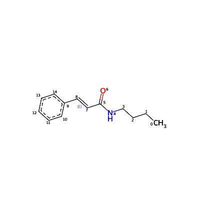 CCCCNC(=O)/C=C/c1ccccc1